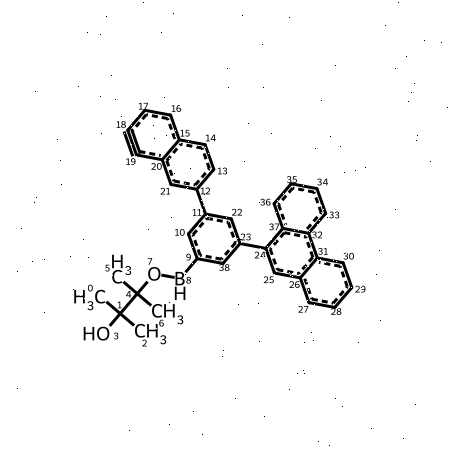 CC(C)(O)C(C)(C)OBc1cc(-c2ccc3ccc#cc3c2)cc(-c2cc3ccccc3c3ccccc23)c1